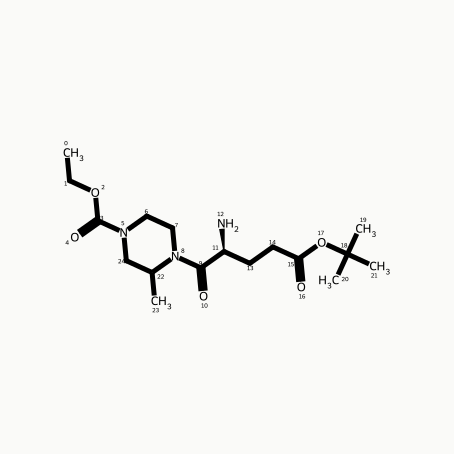 CCOC(=O)N1CCN(C(=O)[C@@H](N)CCC(=O)OC(C)(C)C)C(C)C1